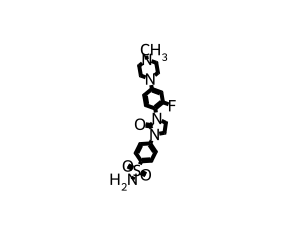 CN1CCN(c2ccc(N3CCN(c4ccc(S(N)(=O)=O)cc4)C3=O)c(F)c2)CC1